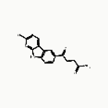 NC(=O)CCC(=O)c1ccc2[nH]c3nc(Cl)ccc3c2c1